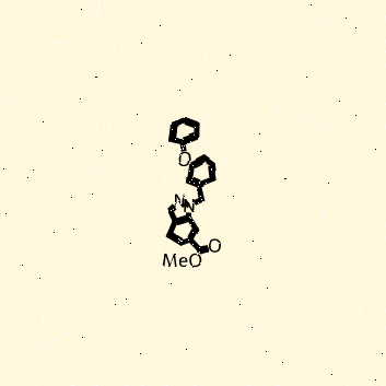 COC(=O)c1ccc2cnn(Cc3cccc(Oc4ccccc4)c3)c2c1